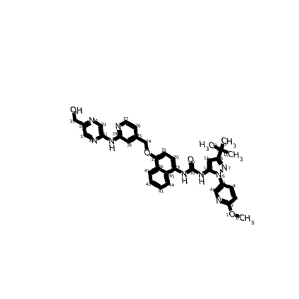 COc1ccc(-n2nc(C(C)(C)C)cc2NC(=O)Nc2ccc(OCc3ccnc(Nc4cnc(CO)cn4)c3)c3ccccc23)cn1